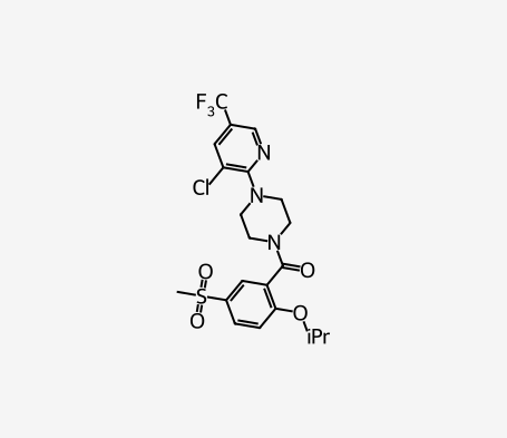 CC(C)Oc1ccc(S(C)(=O)=O)cc1C(=O)N1CCN(c2ncc(C(F)(F)F)cc2Cl)CC1